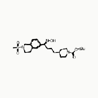 CC(C)(C)OC(=O)N1CCC(CCCC(=NO)c2ccc3c(c2)CCN(S(C)(=O)=O)C3)CC1